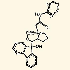 C[N+]1(CC(=O)Nc2ncncn2)CCCC1C(OC=O)C1(O)c2ccccc2-c2ccccc21